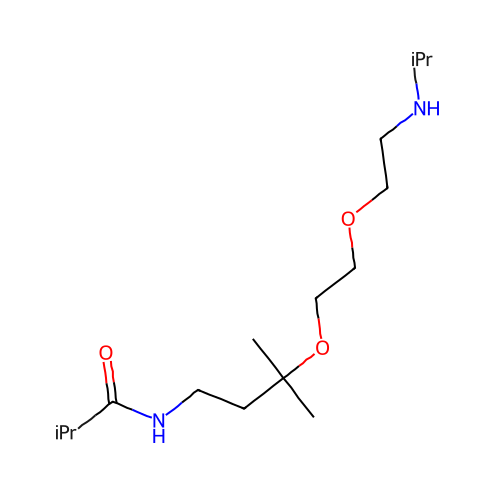 CC(C)NCCOCCOC(C)(C)CCNC(=O)C(C)C